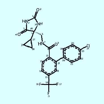 O=C1NC(=O)[C@](CNC(=O)c2ccc(C(F)(F)F)cc2-c2ccc(Cl)cc2)(C2CC2)N1